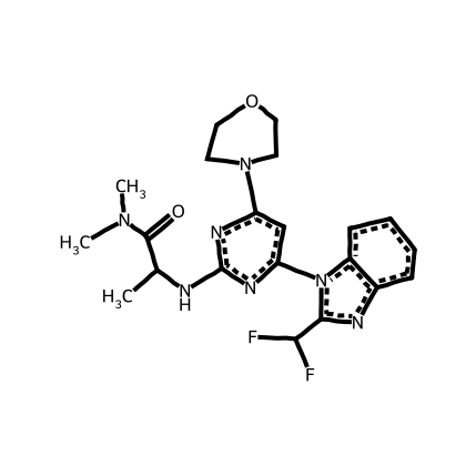 CC(Nc1nc(N2CCOCC2)cc(-n2c(C(F)F)nc3ccccc32)n1)C(=O)N(C)C